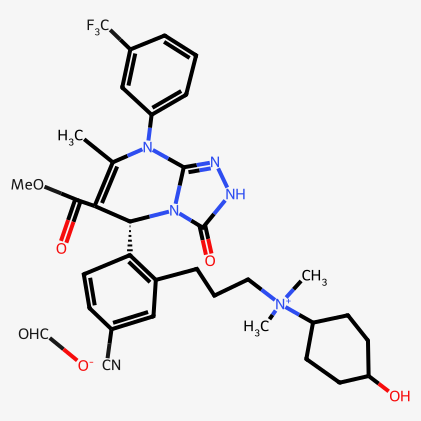 COC(=O)C1=C(C)N(c2cccc(C(F)(F)F)c2)c2n[nH]c(=O)n2[C@@H]1c1ccc(C#N)cc1CCC[N+](C)(C)C1CCC(O)CC1.O=C[O-]